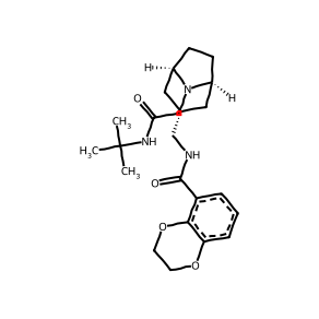 CC(C)(C)NC(=O)CN1[C@@H]2CC[C@H]1C[C@H](CNC(=O)c1cccc3c1OCCO3)C2